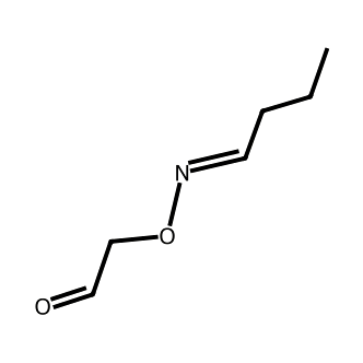 CCC/C=N/OCC=O